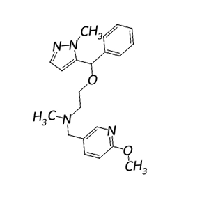 COc1ccc(CN(C)CCOC(c2ccccc2)c2ccnn2C)cn1